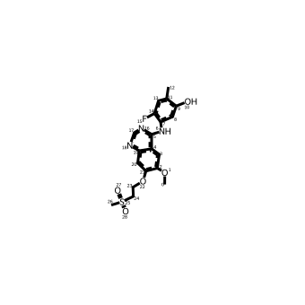 COc1cc2c(Nc3cc(O)c(C)cc3F)ncnc2cc1OCCS(C)(=O)=O